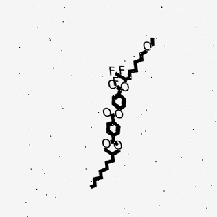 CCCCCCCCC1COC(c2ccc(C(=O)Oc3ccc(C(=O)OC(CCCCCCCOCC)C(F)(F)F)cc3)cc2)OC1